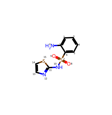 Nc1ccccc1S(=O)(=O)Nc1nccs1